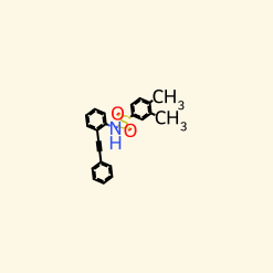 Cc1ccc(S(=O)(=O)Nc2ccccc2C#Cc2ccccc2)cc1C